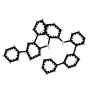 c1ccc(-c2cccc(-c3ccccc3Oc3ccccc3Oc3ccc(-c4ccccc4)cc3-c3ccccc3)c2)cc1